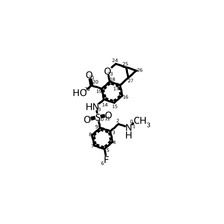 CNCc1cc(F)ccc1S(=O)(=O)Nc1ccc2c(c1C(=O)O)OCC1CC21